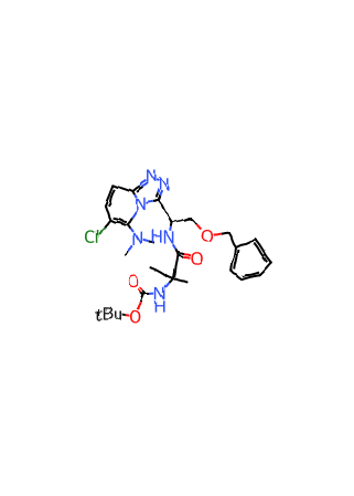 CN(C)c1c(Cl)ccc2nnc([C@@H](COCc3ccccc3)NC(=O)C(C)(C)NC(=O)OC(C)(C)C)n12